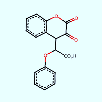 O=C1Oc2ccccc2C(C(Oc2ccccc2)C(=O)O)C1=O